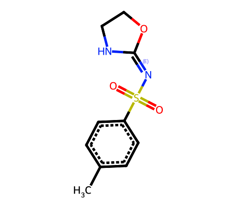 Cc1ccc(S(=O)(=O)/N=C2\NCCO2)cc1